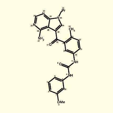 COc1cccc(NC(=O)Nc2ccc(C)c(C(=O)c3cn(C(C)C)c4ncnc(N)c34)c2)c1